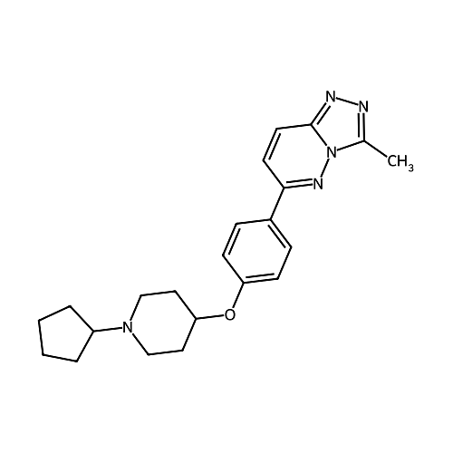 Cc1nnc2ccc(-c3ccc(OC4CCN(C5CCCC5)CC4)cc3)nn12